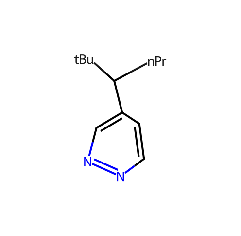 CCCC(c1ccnnc1)C(C)(C)C